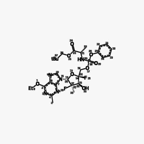 CCOc1nc(C)nc2c1ncn2[C@@H]1O[C@](F)(COP(=O)(NC(C)C(=O)OCC(C)(C)C)Oc2ccccc2)[C@@H](O)[C@@]1(C)F